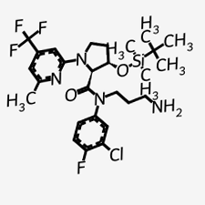 Cc1cc(C(F)(F)F)cc(N2CC[C@@H](O[Si](C)(C)C(C)(C)C)[C@H]2C(=O)N(CCCN)c2ccc(F)c(Cl)c2)n1